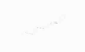 [CH]/C=C/C/C=C/[CH2]